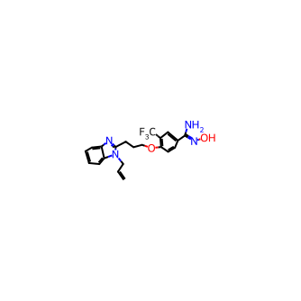 C=CCn1c(CCCOc2ccc(/C(N)=N/O)cc2C(F)(F)F)nc2ccccc21